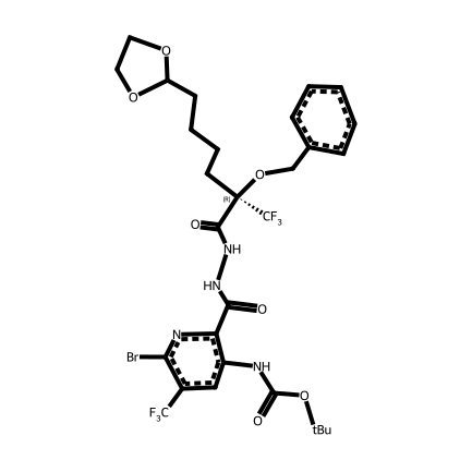 CC(C)(C)OC(=O)Nc1cc(C(F)(F)F)c(Br)nc1C(=O)NNC(=O)[C@@](CCCCC1OCCO1)(OCc1ccccc1)C(F)(F)F